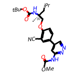 COC(=O)Nc1cc(-c2ccc(OC[C@](C)(CC(C)C)NC(=O)OC(C)(C)C)c(C#N)c2)cnn1